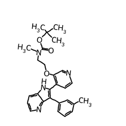 Cc1cccc(-c2c(-c3ccncc3OCCN(C)C(=O)OC(C)(C)C)[nH]c3cccnc23)c1